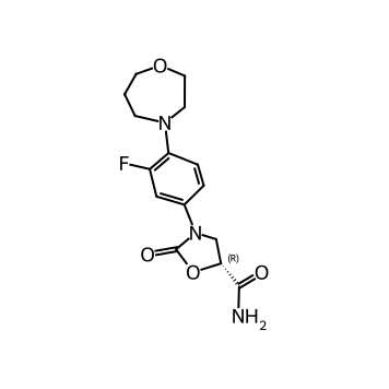 NC(=O)[C@H]1CN(c2ccc(N3CCCOCC3)c(F)c2)C(=O)O1